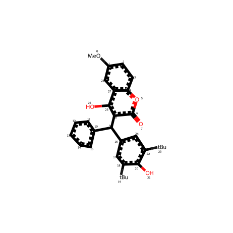 COc1ccc2oc(=O)c(C(c3ccccc3)c3cc(C(C)(C)C)c(O)c(C(C)(C)C)c3)c(O)c2c1